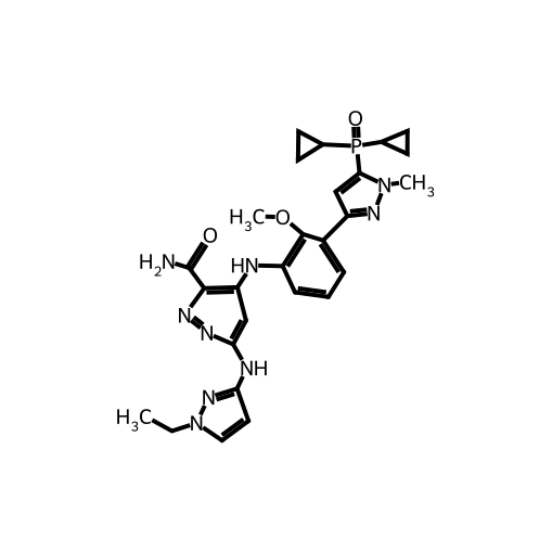 CCn1ccc(Nc2cc(Nc3cccc(-c4cc(P(=O)(C5CC5)C5CC5)n(C)n4)c3OC)c(C(N)=O)nn2)n1